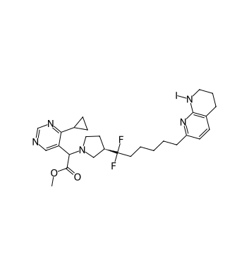 COC(=O)C(c1cncnc1C1CC1)N1CC[C@@H](C(F)(F)CCCCCc2ccc3c(n2)N(I)CCC3)C1